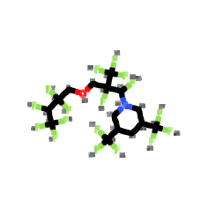 FC(C(F)(F)F)C(F)(F)COCC(F)(C(F)N1CC(C(F)(F)F)CC(C(F)(F)F)C1)C(F)(F)F